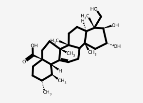 C[C@H]1[C@H](C)CC[C@]2(C(=O)O)CC[C@@]3(C)C(=CCC4[C@@]5(C)C[C@@H](O)[C@H](O)[C@@](C)(CO)[C@@H]5CC[C@]43C)[C@H]12